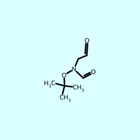 CC(C)(C)ON(C=O)CC=O